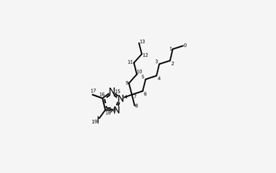 CCCCCCCC(C)(CCCCC)n1nc(C)c(I)n1